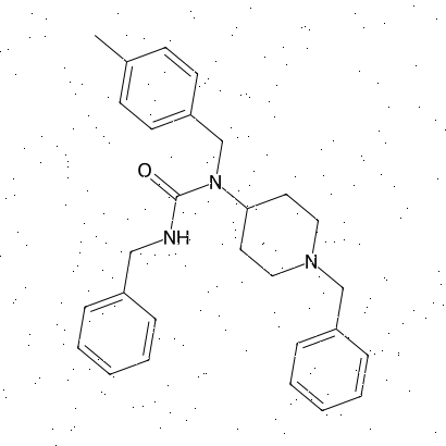 Cc1ccc(CN(C(=O)NCc2ccccc2)C2CCN(Cc3ccccc3)CC2)cc1